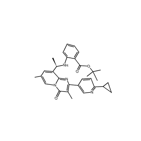 Cc1cc([C@@H](C)Nc2ccccc2C(=O)OC(C)(C)C)c2nc(-c3ccc(C4CC4)nc3)c(C)c(=O)n2c1